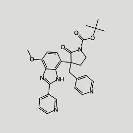 COc1ccc(C2(Cc3ccncc3)CCN(C(=O)OC(C)(C)C)C2=O)c2[nH]c(-c3cccnc3)nc12